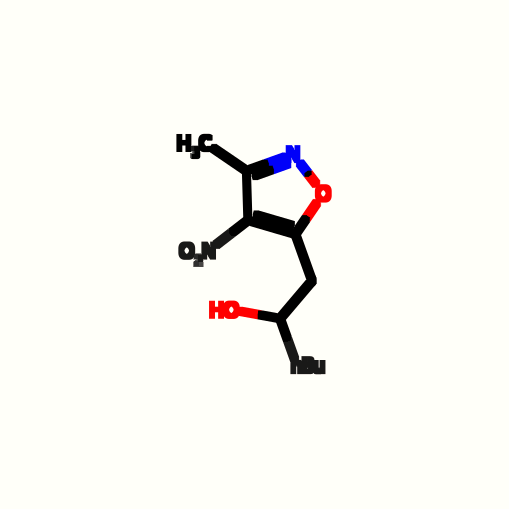 CCCCC(O)Cc1onc(C)c1[N+](=O)[O-]